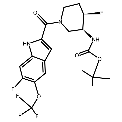 CC(C)(C)OC(=O)N[C@H]1CN(C(=O)c2cc3cc(OC(F)(F)F)c(F)cc3[nH]2)CC[C@H]1F